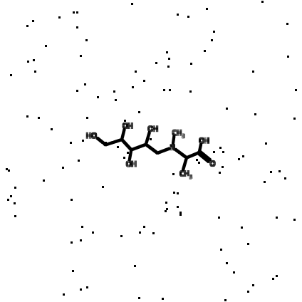 CC(C(=O)O)N(C)CC(O)C(O)C(O)CO